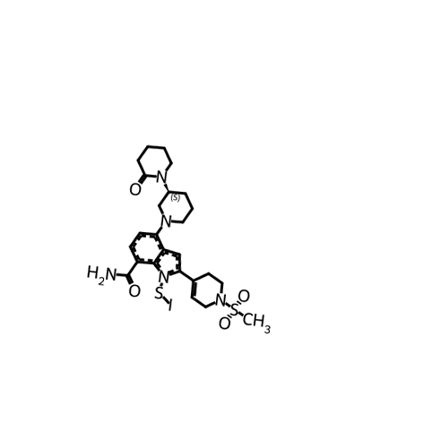 CS(=O)(=O)N1CC=C(c2cc3c(N4CCC[C@H](N5CCCCC5=O)C4)ccc(C(N)=O)c3n2SI)CC1